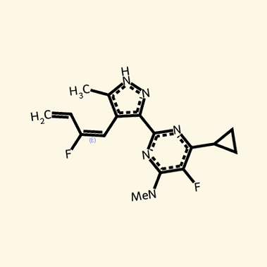 C=C/C(F)=C\c1c(-c2nc(NC)c(F)c(C3CC3)n2)n[nH]c1C